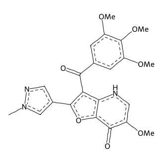 COc1cc(C(=O)c2c(-c3cnn(C)c3)oc3c(=O)c(OC)c[nH]c23)cc(OC)c1OC